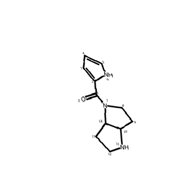 O=C(c1ccc[nH]1)N1CCC2NCCC21